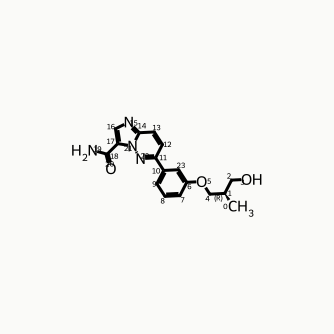 C[C@H](CO)COc1cccc(-c2ccc3ncc(C(N)=O)n3n2)c1